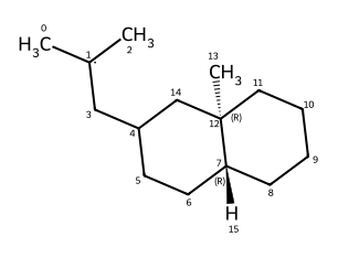 C[C](C)CC1CC[C@H]2CCCC[C@]2(C)C1